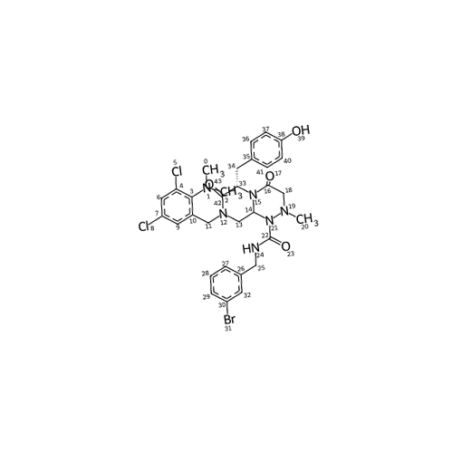 CN(C)c1c(Cl)cc(Cl)cc1CN1CC2N(C(=O)CN(C)N2C(=O)NCc2cccc(Br)c2)[C@@H](Cc2ccc(O)cc2)C1=O